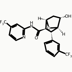 O=C(Nc1cc(C(F)(F)F)ccn1)[C@@H]1[C@@H](c2cccc(C(F)(F)F)c2)[C@H]2O[C@@H]1C[C@@H]2O